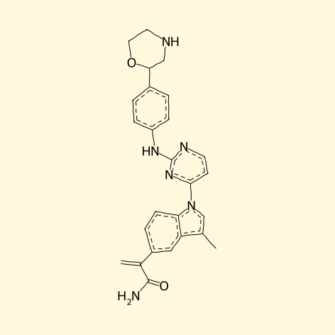 C=C(C(N)=O)c1ccc2c(c1)c(C)cn2-c1ccnc(Nc2ccc(C3CNCCO3)cc2)n1